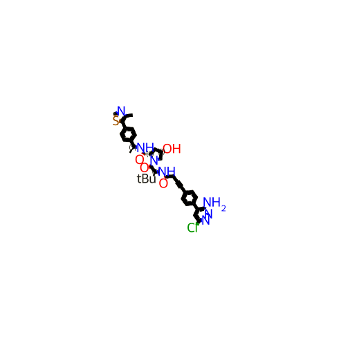 Cc1ncsc1-c1ccc([C@H](C)NC(=O)[C@@H]2C[C@@H](O)CN2C(=O)[C@@H](NC(=O)CC#Cc2ccc(-c3cc(Cl)nnc3N)cc2)C(C)(C)C)cc1